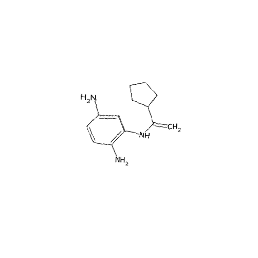 C=C(Nc1cc(N)ccc1N)C1CCCC1